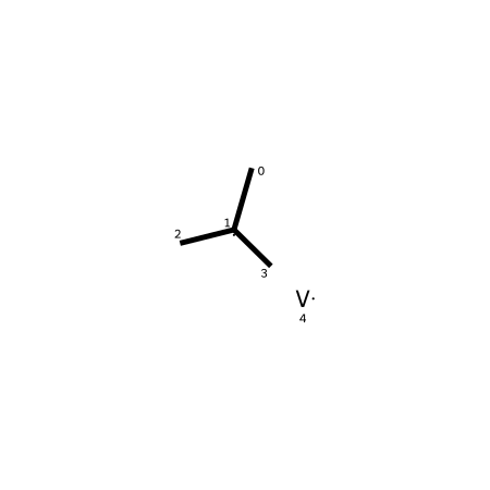 C[C](C)C.[V]